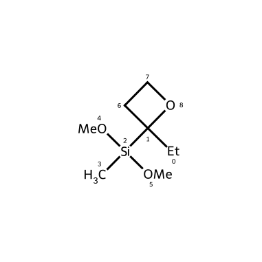 CCC1([Si](C)(OC)OC)CCO1